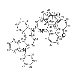 C1=C(n2c3ccccc3c3c4c5ccccc5n(-c5ccccc5)c4ccc32)N=C(c2cccc3oc4ccc5oc6ccccc6c5c4c23)c2ccccc2C1